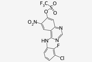 O=[N+]([O-])c1cc2c(Nc3cccc(Cl)c3F)ncnc2cc1OS(=O)(=O)C(F)(F)F